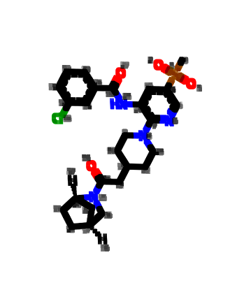 CS(=O)(=O)c1cnc(N2CCC(CC(=O)N3C[C@H]4CC[C@@H]3C4)CC2)c(NC(=O)c2cccc(Cl)c2)c1